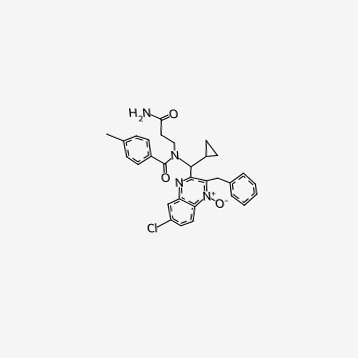 Cc1ccc(C(=O)N(CCC(N)=O)C(c2nc3cc(Cl)ccc3[n+]([O-])c2Cc2ccccc2)C2CC2)cc1